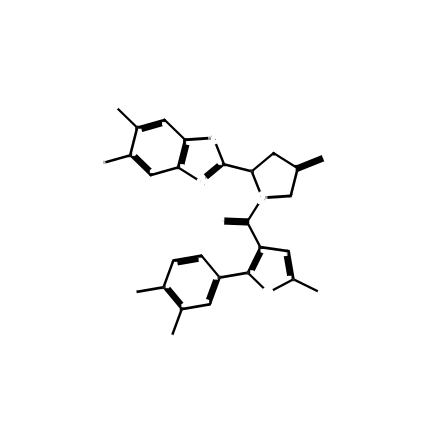 C=C1CC(c2nc3cc(Cl)c(C)cc3[nH]2)N(C(=O)c2cc(C)sc2-c2ccc(C)c(C)c2)C1